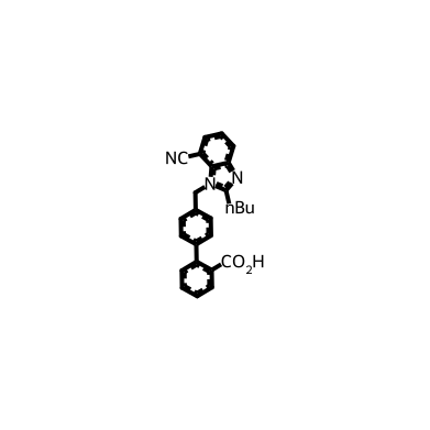 CCCCc1nc2cccc(C#N)c2n1Cc1ccc(-c2ccccc2C(=O)O)cc1